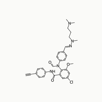 C#Cc1ccc(NC(=O)c2cc(Cl)cc(OC)c2N(C=O)c2ccc(C=NN(C)CCCN(C)C)cc2)cc1